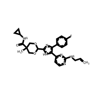 C=CCNc1nccc(-c2[nH]c(C3OCC(C)(C(=O)NC4CC4)CO3)nc2-c2ccc(F)cc2)n1